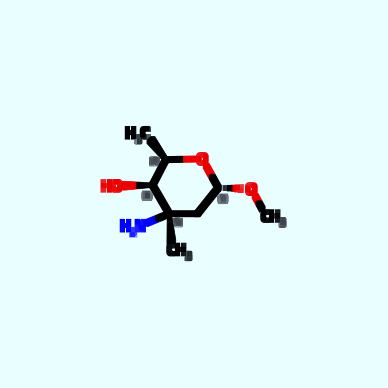 CO[C@@H]1C[C@](C)(N)[C@@H](O)[C@@H](C)O1